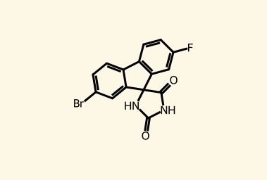 O=C1NC(=O)C2(N1)c1cc(F)ccc1-c1ccc(Br)cc12